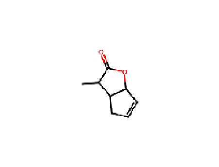 CC1C(=O)OC2C=CCC21